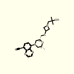 C[C@@H]1CN(c2ccc(C#N)c3nccnc23)C[C@H](CSC2CN(CC(C)(C)O)C2)O1